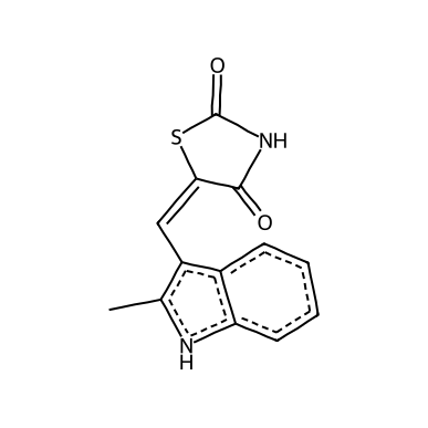 Cc1[nH]c2ccccc2c1/C=C1/SC(=O)NC1=O